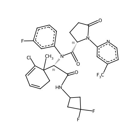 CC1([C@@H](C(=O)NC2CC(F)(F)C2)N(C(=O)[C@@H]2CCC(=O)N2c2cc(C(F)(F)F)ccn2)c2cccc(F)c2)CC=CC=C1Cl